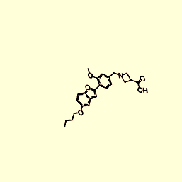 CCCCOc1ccc2oc(-c3ccc(CN4CC(C(=O)O)C4)cc3OC)cc2c1